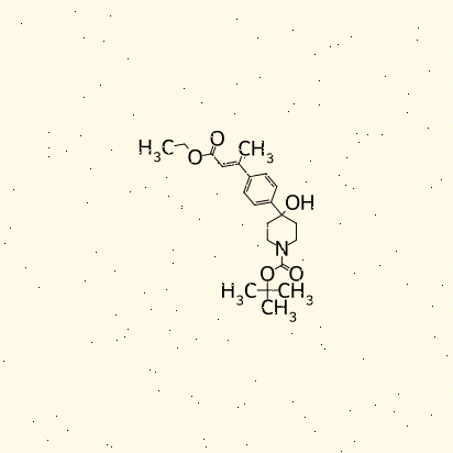 CCOC(=O)C=C(C)c1ccc(C2(O)CCN(C(=O)OC(C)(C)C)CC2)cc1